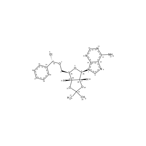 CC[C@H](OC[C@H]1O[C@@H](n2cnc3c(N)ncnc32)[C@@H]2OC(C)(C)O[C@@H]21)c1ccccc1